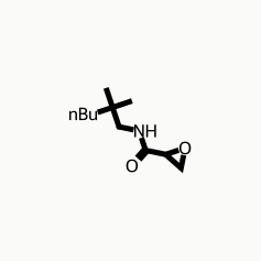 CCCCC(C)(C)CNC(=O)C1CO1